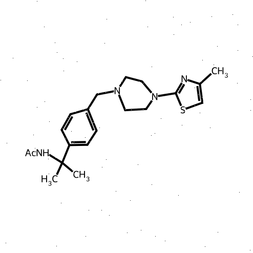 CC(=O)NC(C)(C)c1ccc(CN2CCN(c3nc(C)cs3)CC2)cc1